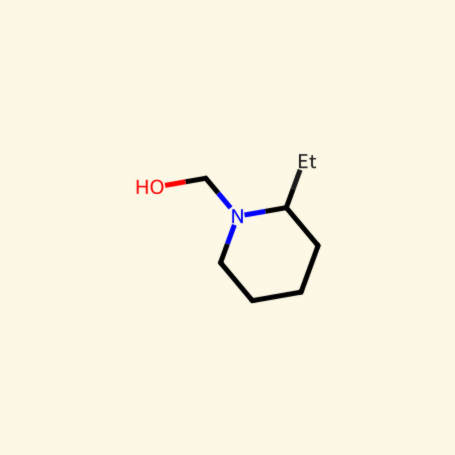 CCC1CCCCN1CO